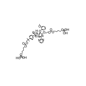 COc1ccccc1Oc1c(NS(=O)(=O)c2ccc(C(C)(C)COC(=O)OCCCCON(O)O)cc2)nc(-c2ncccn2)nc1OCCOC(=O)OCCCCON(O)O